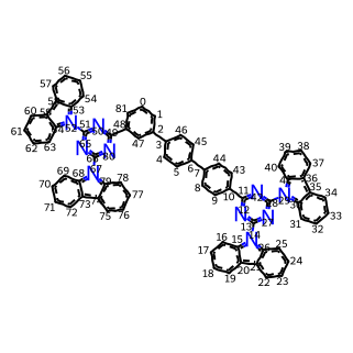 c1cc(-c2ccc(-c3ccc(-c4nc(-n5c6ccccc6c6ccccc65)nc(-n5c6ccccc6c6ccccc65)n4)cc3)cc2)cc(-c2nc(-n3c4ccccc4c4ccccc43)nc(-n3c4ccccc4c4ccccc43)n2)c1